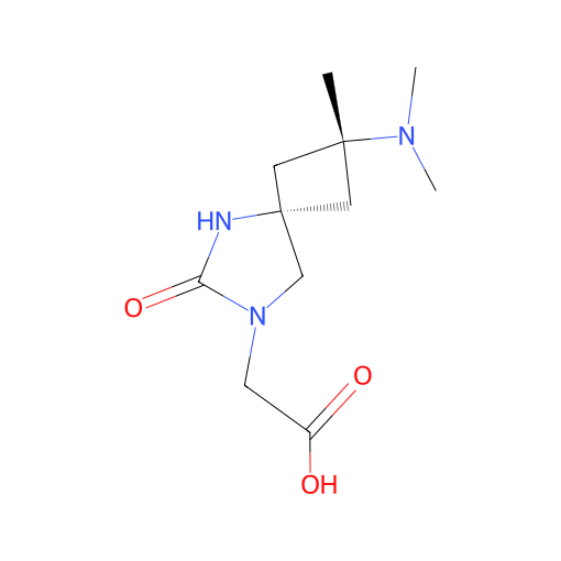 CN(C)[C@]1(C)C[C@@]2(CN(CC(=O)O)C(=O)N2)C1